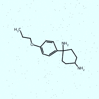 CCCOc1ccc(C2(N)CCC(N)CC2)cc1